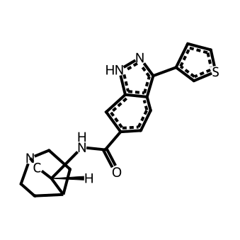 O=C(N[C@H]1CN2CCC1CC2)c1ccc2c(-c3ccsc3)n[nH]c2c1